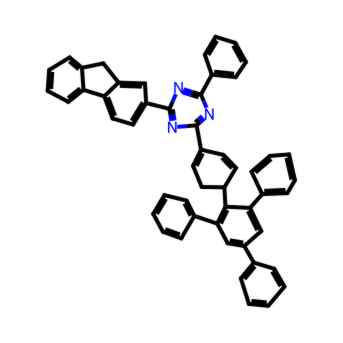 C1=CC(c2c(-c3ccccc3)cc(-c3ccccc3)cc2-c2ccccc2)CC=C1c1nc(-c2ccccc2)nc(-c2ccc3c(c2)Cc2ccccc2-3)n1